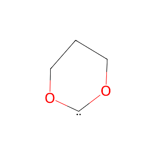 [C]1OCCCO1